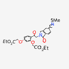 CCOC(=O)COc1ccc(C(=O)CN2CC3=C(C=CC(=C=NSC)C3)C2=O)c(OCC(=O)OCC)c1